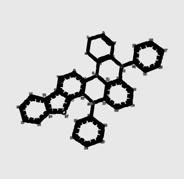 C1=CC2=C(CC1)B1c3ccc4c(oc5ccccc54)c3N(c3ccccc3)c3cccc(c31)N2c1ccccc1